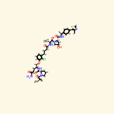 Cc1ncsc1-c1ccc([C@H](C)NC(=O)[C@@H]2C[C@@H](O)CN2C(=O)[C@@H](NC(=O)CCCc2cccc(OC[C@H](CCC(N)=O)NC(=O)[C@@H]3CCCN3C(=O)[C@@H](C)C(C)C)c2Cl)C(C)(C)C)cc1